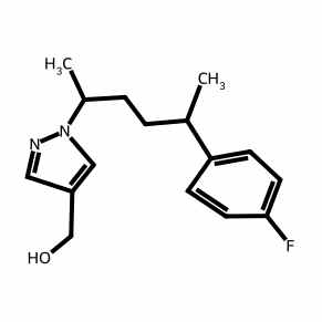 CC(CCC(C)n1cc(CO)cn1)c1ccc(F)cc1